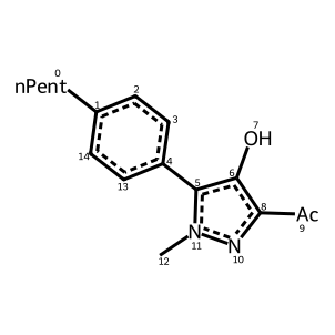 CCCCCc1ccc(-c2c(O)c(C(C)=O)nn2C)cc1